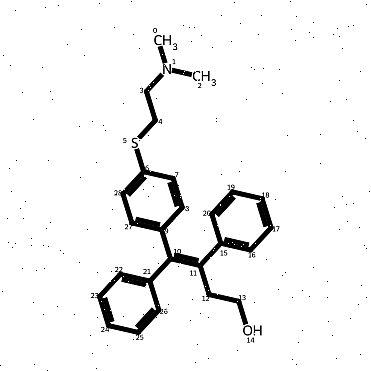 CN(C)CCSc1ccc(C(=C(CCO)c2ccccc2)c2ccccc2)cc1